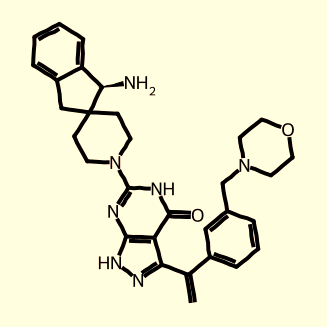 C=C(c1cccc(CN2CCOCC2)c1)c1n[nH]c2nc(N3CCC4(CC3)Cc3ccccc3[C@H]4N)[nH]c(=O)c12